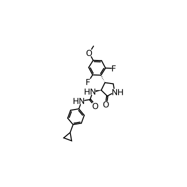 COc1cc(F)c([C@@H]2CNC(=O)[C@H]2NC(=O)Nc2ccc(C3CC3)cc2)c(F)c1